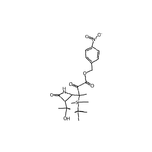 CC(C)(O)C1C(=O)NC1C(C)(C(=O)C(=O)OCc1ccc([N+](=O)[O-])cc1)[Si](C)(C)C(C)(C)C